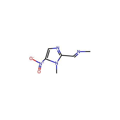 C/N=C/c1ncc([N+](=O)[O-])n1C